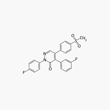 CS(=O)(=O)c1ccc(-c2cnn(-c3ccc(F)cc3)c(=O)c2-c2cccc(F)c2)cc1